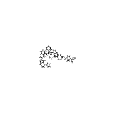 Cn1c(C(=O)Nc2cccc(-c3cccc(NC(=O)c4cc5n(n4)CCCC5N4CCCC4)c3Cl)c2Cl)nc2c1CCN(CCC13CCC(C(=O)O)(CC1)C3)C2